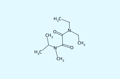 CCN(CC)C(=O)C(=O)N(C)C(C)C